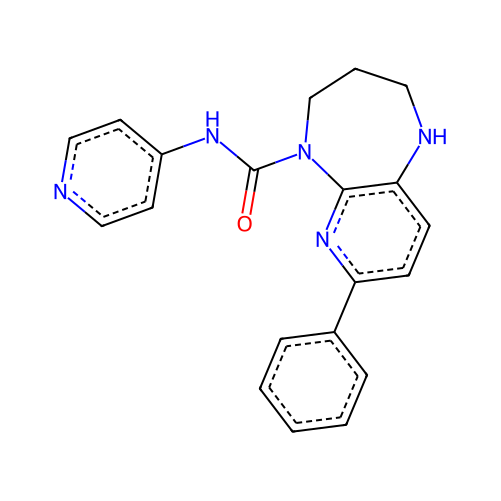 O=C(Nc1ccncc1)N1CCCNc2ccc(-c3ccccc3)nc21